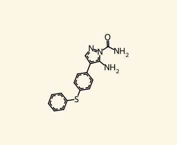 NC(=O)n1ncc(-c2ccc(Sc3ccccc3)cc2)c1N